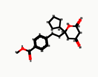 COC(=O)c1ccc(CCC2(C3CCCC3)CC(=O)CC(=O)O2)cc1